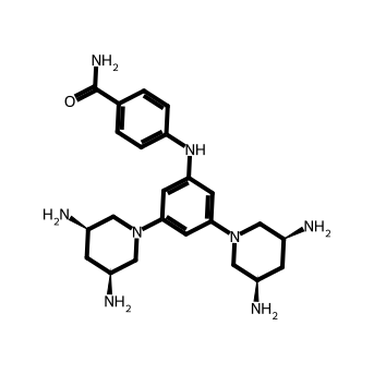 NC(=O)c1ccc(Nc2cc(N3C[C@H](N)C[C@H](N)C3)cc(N3C[C@H](N)C[C@H](N)C3)c2)cc1